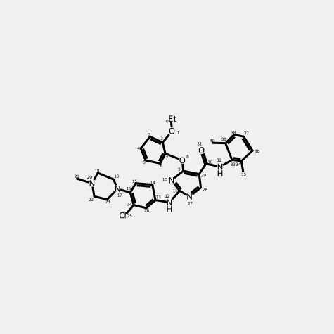 CCOc1ccccc1Oc1nc(Nc2ccc(N3CCN(C)CC3)c(Cl)c2)ncc1C(=O)Nc1c(C)cccc1C